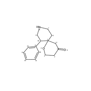 O=C1CCOC2(CCNCC2c2ccccc2)C1